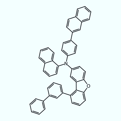 c1ccc(-c2cccc(-c3cccc4oc5ccc(N(c6ccc(-c7ccc8ccccc8c7)cc6)c6cccc7ccccc67)cc5c34)c2)cc1